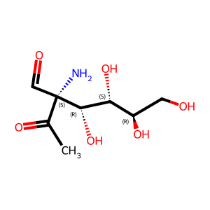 CC(=O)[C@@](N)(C=O)[C@@H](O)[C@H](O)[C@H](O)CO